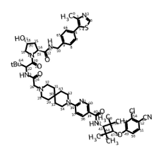 Cc1ncsc1-c1ccc(CNC(=O)[C@@H]2C[C@@H](O)CN2C(=O)C(NC(=O)CN2CCC3(CC2)CCN(c2ccc(C(=O)N[C@H]4C(C)(C)[C@H](Oc5ccc(C#N)c(Cl)c5)C4(C)C)cn2)CC3)C(C)(C)C)cc1